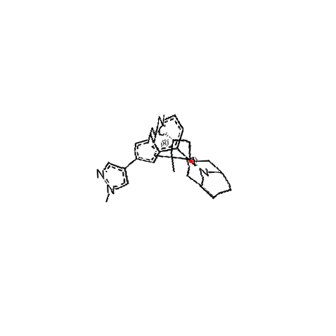 Cn1cc(-c2cc3c(N4CC5CCC(C4)N5[C@H]4C[C@@H](C#N)C4(C)C)ccnn3c2)cn1